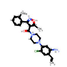 C=Cc1cc(Cl)c(N2CCN(C(=O)c3c(-c4ccccc4OC)noc3C)CC2)cc1N